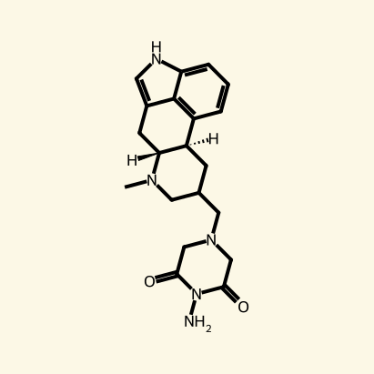 CN1CC(CN2CC(=O)N(N)C(=O)C2)C[C@@H]2c3cccc4[nH]cc(c34)C[C@H]21